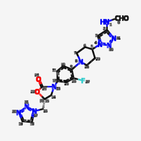 O=CNc1cn(C2CCN(c3ccc(N4C[C@H](Cn5ccnn5)OC4=O)cc3F)CC2)nn1